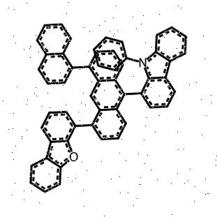 c1ccc(-n2c3ccccc3c3cccc(-c4c5cccc(-c6cccc7ccccc67)c5cc5c(-c6cccc7c6oc6ccccc67)cccc45)c32)cc1